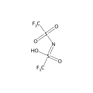 O=S(=O)(N=S(=O)(O)C(F)(F)F)C(F)(F)F